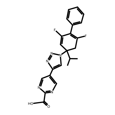 CC(C)C1(n2cc(-c3cnc(C(=O)O)nc3)nn2)C=C(F)C(c2ccccc2)=C(F)C1